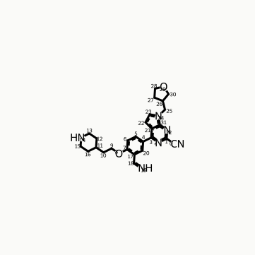 N#Cc1nc(-c2ccc(OCCC3CCNCC3)c(C=N)c2)c2ccn(CC3CCOC3)c2n1